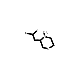 CN1CCOCC1CC(F)F